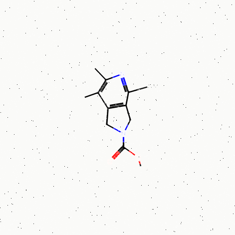 CNc1nc(C)c(C)c2c1CN(C(=O)OC(C)(C)C)C2